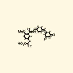 CC[C@@H](Cc1ccc(OC)c(C(=O)NCc2ccc(Oc3cc(F)cc(Cl)c3)cc2)c1)C(=O)O